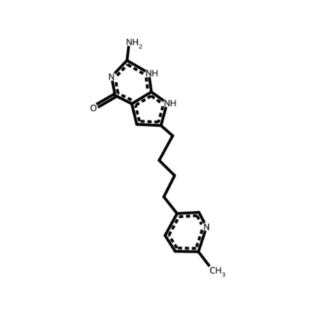 Cc1ccc(CCCCc2cc3c(=O)nc(N)[nH]c3[nH]2)cn1